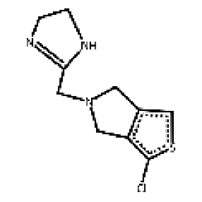 Clc1scc2c1CN(CC1=NCCN1)C2